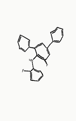 Fc1ccccc1Nc1c(F)cc(-c2ccccc2)cc1-c1ccccc1